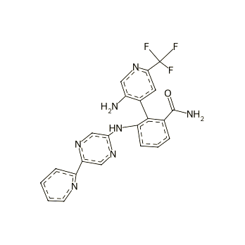 NC(=O)c1cccc(Nc2cnc(-c3ccccn3)cn2)c1-c1cc(C(F)(F)F)ncc1N